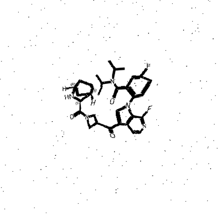 CC(C)N(C(=O)c1cc(F)ccc1-n1cc(C(=O)C2CN(C(=O)[C@H]3N[C@@H]4CC[C@H]3C4)C2)c2ccnc(F)c21)C(C)C